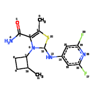 CC1=C(C(N)=O)N(C2CCC2C)C(Nc2cc(F)nc(F)c2)S1